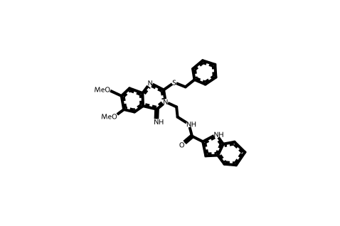 COc1cc2nc(SCc3ccccc3)n(CCNC(=O)c3cc4ccccc4[nH]3)c(=N)c2cc1OC